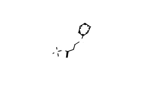 C=C(CCSc1ccccc1)O[Si](C)(C)C